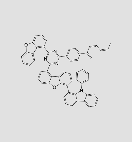 C=C(/C=C\C=C/C)c1ccc(-c2nc(-c3cccc4oc5ccccc5c34)nc(-c3cccc4oc5c(-c6cccc7c8ccccc8n(-c8ccccc8)c67)cccc5c34)n2)cc1